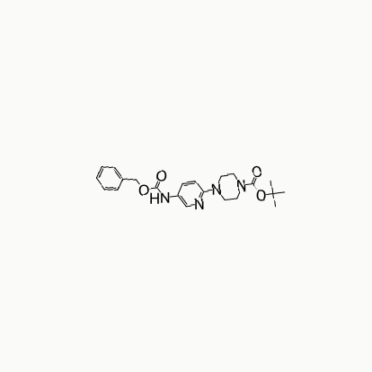 CC(C)(C)OC(=O)N1CCN(c2ccc(NC(=O)OCc3ccccc3)cn2)CC1